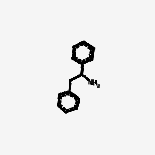 N[C@@H](Cc1ccccc1)c1ccccc1